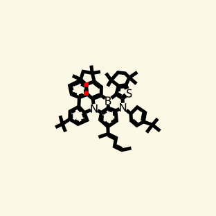 C/C=C\C=C(/C)c1cc2c3c(c1)N(C1C=CC(C(C)(C)C)=CC1)c1sc4c(c1B3C1=C(CC3C(=C1)C(C)(C)CC3(C)C)N2c1ccc(C(C)(C)C)cc1-c1ccccc1)C(C)(C)CCC4(C)C